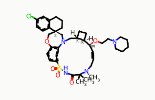 CN1CC=C[C@H](OCCN2CCCCC2)[C@@H]2CC[C@H]2CN2C[C@@]3(CCCc4cc(Cl)ccc43)COc3ccc(cc32)S(=O)(=O)NC(=O)C1(C)C